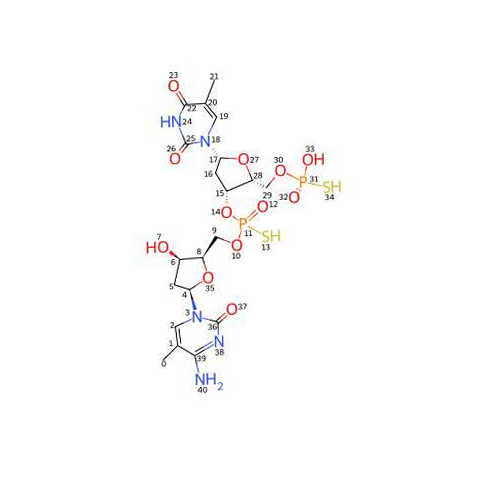 Cc1cn([C@H]2C[C@@H](O)[C@@H](COP(=O)(S)O[C@@H]3C[C@H](n4cc(C)c(=O)[nH]c4=O)O[C@@H]3COP(=O)(O)S)O2)c(=O)nc1N